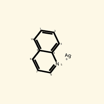 [Ag].c1ccc2ncccc2c1